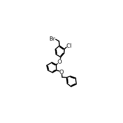 Clc1cc(Oc2ccccc2OCc2ccccc2)ccc1CBr